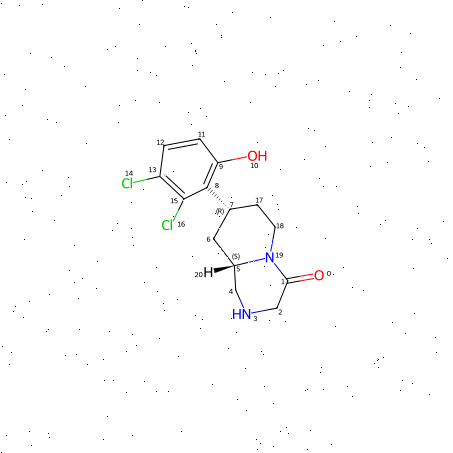 O=C1CNC[C@@H]2C[C@H](c3c(O)ccc(Cl)c3Cl)CCN12